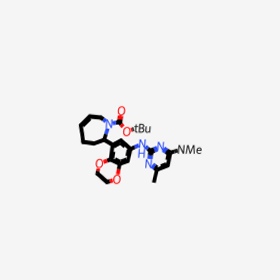 CNc1cc(C)nc(Nc2cc3c(c(C4CCC=CCN4C(=O)OC(C)(C)C)c2)OCCO3)n1